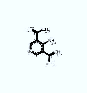 C=C(C)c1cncc(C(=C)C)c1N